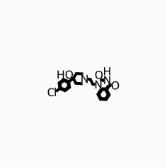 O=c1[nH]c(=O)n(CCN2CCC(O)(c3ccc(Cl)cc3)CC2)c2ccccc12